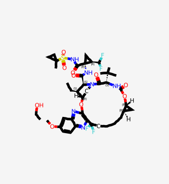 CCO.CC[C@@H]1[C@@H]2CN(C(=O)[C@H](C(C)(C)C)NC(=O)O[C@@H]3C[C@H]3CCCCC(F)(F)c3nc4ccc(OC)cc4nc3O2)[C@@H]1C(=O)N[C@]1(C(=O)NS(=O)(=O)C2(C)CC2)C[C@H]1C(F)F